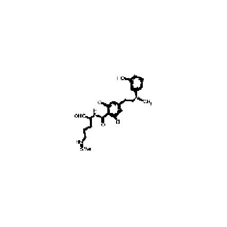 CSNCCCC(C=O)NC(=O)c1c(Cl)cc(CCP(C)c2cccc(O)c2)cc1Cl